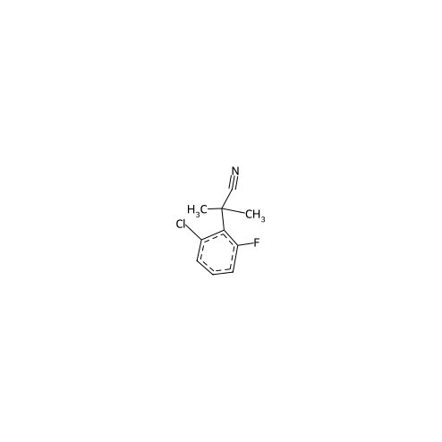 CC(C)(C#N)c1c(F)cccc1Cl